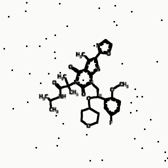 COc1ccc(F)cc1[C@H](Cn1c(=O)n(C(C)(C)C(=O)NC(C)C)c(=O)c2c(C)c(-c3ncco3)sc21)OC1CCOCC1